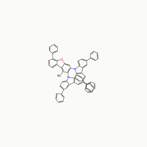 N#Cc1c(-n2c3ccc(-c4ccccc4)cc3c3cc(-c4ccccc4)ccc32)c(-n2c3ccc(-c4ccccc4)cc3c3cc(-c4ccccc4)ccc32)cc2oc3c(-c4ccccc4)cccc3c12